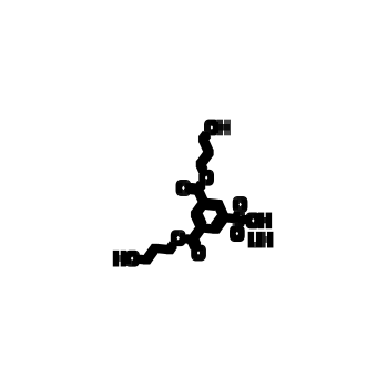 O=C(OCCCO)c1cc(C(=O)OCCCO)cc(S(=O)(=O)O)c1.[LiH]